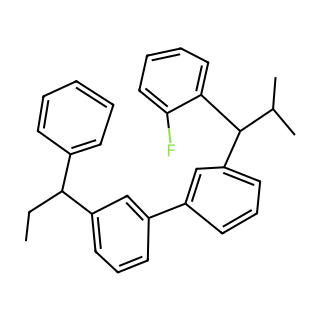 CCC(c1ccccc1)c1cccc(-c2cccc(C(c3ccccc3F)C(C)C)c2)c1